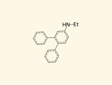 CCNc1ccc(-c2ccccc2)c(-c2ccccc2)c1